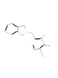 Cc1cnc(CN2Cc3ccccc3C2)c(C)c1O